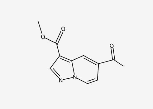 COC(=O)c1cnn2ccc(C(C)=O)cc12